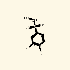 O=S(=O)(NO)c1ccc(Cl)c(F)c1